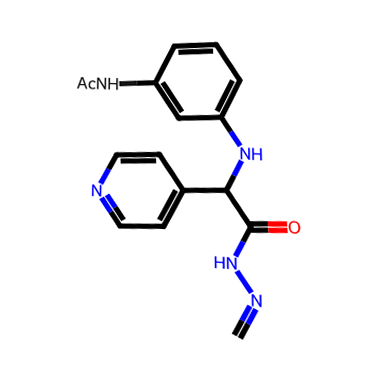 C=NNC(=O)C(Nc1cccc(NC(C)=O)c1)c1ccncc1